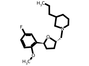 CCCC1CCCN(C[C@@H]2CC[C@@H](c3cc(F)ccc3OC)O2)C1